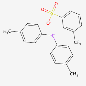 Cc1ccc([I+]c2ccc(C)cc2)cc1.O=S(=O)([O-])c1cccc(C(F)(F)F)c1